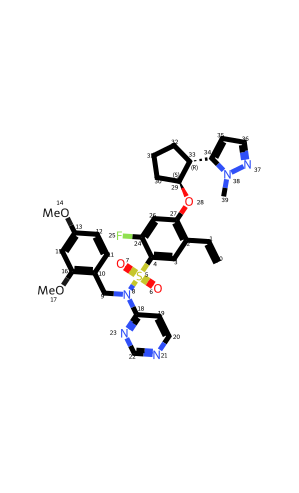 C=Cc1cc(S(=O)(=O)N(Cc2ccc(OC)cc2OC)c2ccncn2)c(F)cc1O[C@H]1CCC[C@@H]1c1ccnn1C